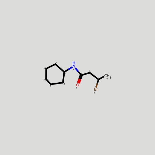 CC(Br)CC(=O)NC1CCCCC1